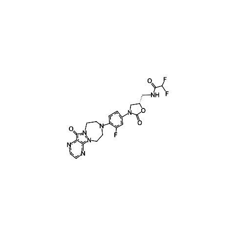 O=C(NC[C@H]1CN(c2ccc(N3CCn4c(=O)c5nccnc5n4CC3)c(F)c2)C(=O)O1)C(F)F